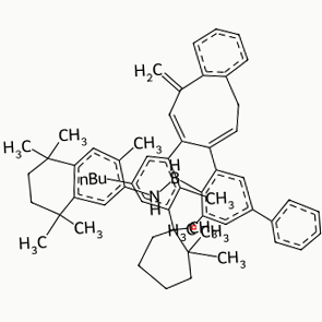 C=C1/C=C(c2cc(CCCC)cc(C3(C)CCCCC3(C)C)c2C)\C(c2cc(-c3ccccc3)cc(C)c2BNc2cc3c(cc2C)C(C)(C)CCC3(C)C)=C/Cc2ccccc21